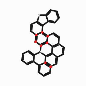 c1ccc(-c2ccccc2N(c2ccc3c(ccc4sc5ccccc5c43)c2)c2cccc3ccc4ccc5ccccc5c4c23)cc1